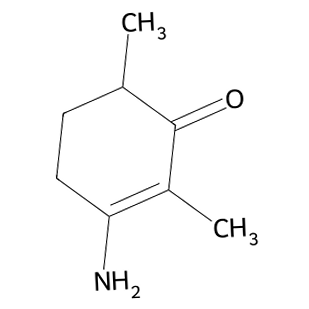 CC1=C(N)CCC(C)C1=O